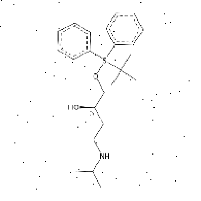 CC(C)NCC[C@@H](O)CO[Si](c1ccccc1)(c1ccccc1)C(C)(C)C